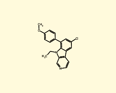 CCn1c2cnccc2c2cc(Cl)cc(-c3ccc(OC)cc3)c21